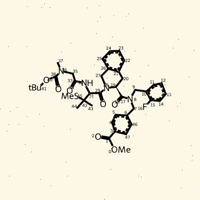 COC(=O)c1ccc(CN(Cc2ccccc2F)C(=O)[C@@H]2Cc3ccccc3CN2C(=O)C(NC(=O)CN(C)C(=O)OC(C)(C)C)C(C)(C)SC)cc1